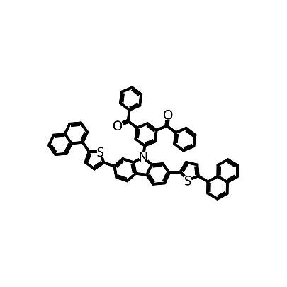 O=C(c1ccccc1)c1cc(C(=O)c2ccccc2)cc(-n2c3cc(-c4ccc(-c5cccc6ccccc56)s4)ccc3c3ccc(-c4ccc(-c5cccc6ccccc56)s4)cc32)c1